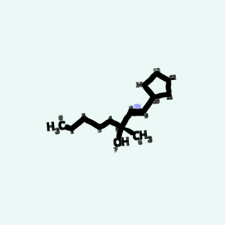 CCCCC[C@@](C)(O)/C=C/C1CCCC1